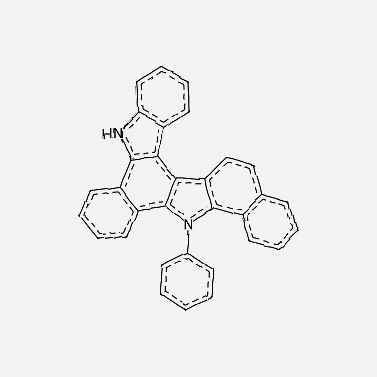 c1ccc(-n2c3c4ccccc4ccc3c3c4c5ccccc5[nH]c4c4ccccc4c32)cc1